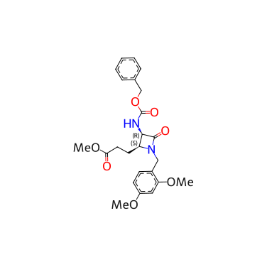 COC(=O)CC[C@H]1[C@@H](NC(=O)OCc2ccccc2)C(=O)N1Cc1ccc(OC)cc1OC